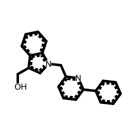 OCc1cn(Cc2cccc(-c3ccccc3)n2)c2ccccc12